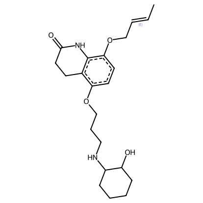 C/C=C/COc1ccc(OCCCNC2CCCCC2O)c2c1NC(=O)CC2